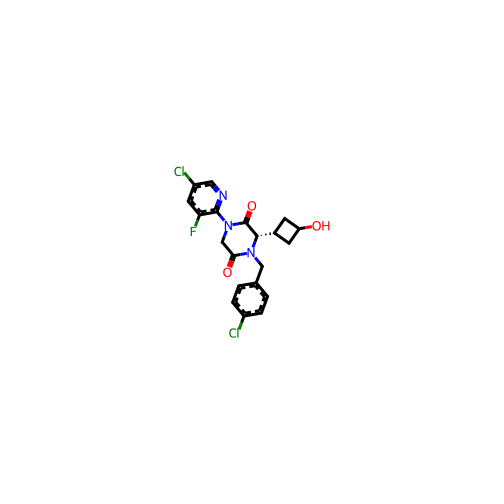 O=C1[C@H](C2CC(O)C2)N(Cc2ccc(Cl)cc2)C(=O)CN1c1ncc(Cl)cc1F